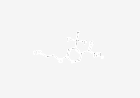 NC(=O)c1ccc(OCCO)cc1C(F)(F)F